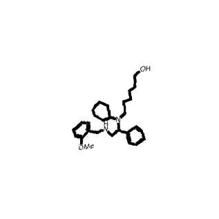 COc1ccccc1CNCC(c1ccccc1)N(CCCCCCO)C1CCCCC1